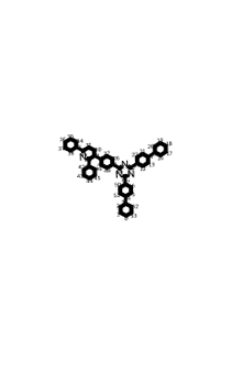 c1ccc(-c2ccc(-c3nc(-c4ccc(-c5ccccc5)cc4)nc(-c4ccc(-c5ccc(-c6ccccc6)nc5-c5ccccc5)cc4)n3)cc2)cc1